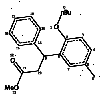 CCCCOc1ccc(C)cc1C(CC(=O)OC)c1ccccc1